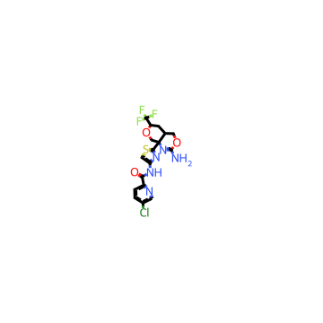 NC1=NC2(c3nc(NC(=O)c4ccc(Cl)cn4)cs3)COC(C(F)(F)F)CC2CO1